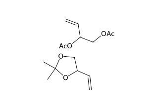 C=CC(COC(C)=O)OC(C)=O.C=CC1COC(C)(C)O1